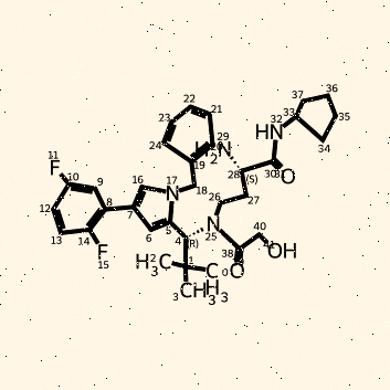 CC(C)(C)[C@H](c1cc(-c2cc(F)ccc2F)cn1Cc1ccccc1)N(CC[C@H](N)C(=O)NC1CCCC1)C(=O)CO